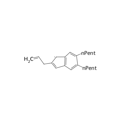 C=CCC1=Cc2cc(CCCCC)c(CCCCC)cc2[CH]1